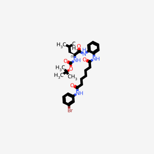 CC(C)C[C@H](NC(=O)OC(C)(C)C)C(=O)Nc1ccccc1NC(=O)CCCCCC(=O)Nc1cccc(Br)c1